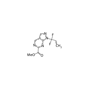 C=CC(F)(F)n1ncc2cnc(C(=O)OC)nc21